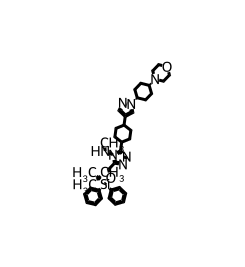 CNn1c(CO[Si](c2ccccc2)(c2ccccc2)C(C)(C)C)nnc1C1CCC(c2cnn([C@H]3CC[C@H](N4CCOCC4)CC3)c2)CC1